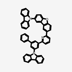 c1ccc(-c2cc(-c3cccc(-c4ccc5oc6ccc(-n7c8ccccc8c8ccccc87)cc6c5c4)n3)cc(-n3c4ccccc4c4ccccc43)c2)cc1